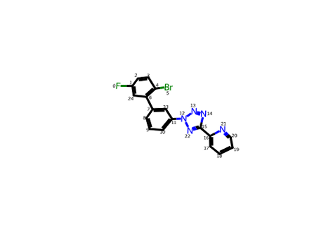 Fc1ccc(Br)c(-c2cccc(-n3nnc(-c4ccccn4)n3)c2)c1